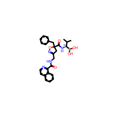 CC(C)[C@H](NC(=O)C1(Cc2ccccc2)CC(CNC(=O)c2nccc3ccccc23)=NO1)B(O)O